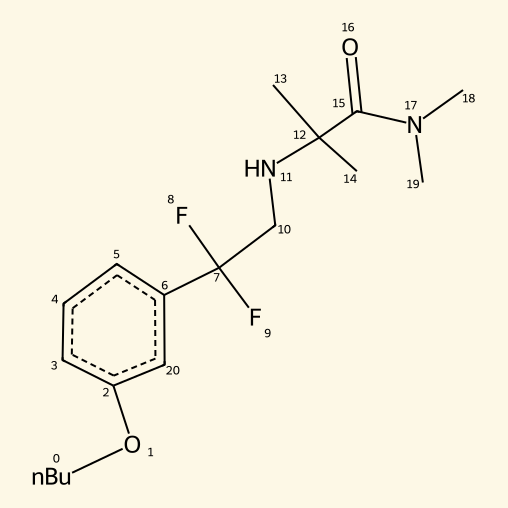 CCCCOc1cccc(C(F)(F)CNC(C)(C)C(=O)N(C)C)c1